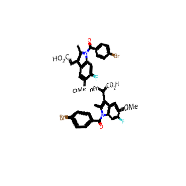 CCCC(C(=O)O)c1c(C)n(C(=O)c2ccc(Br)cc2)c2cc(F)c(OC)cc12.COc1cc2c(CC(=O)O)c(C)n(C(=O)c3ccc(Br)cc3)c2cc1F